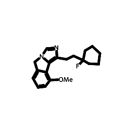 COc1cccc2c1-c1c(CCC3(F)CCCCC3)ncn1C2